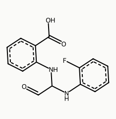 O=CC(Nc1ccccc1F)Nc1ccccc1C(=O)O